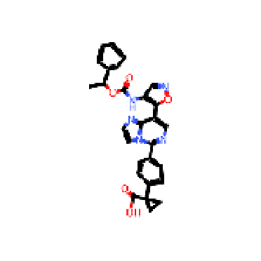 CC(OC(=O)Nc1cnoc1-c1cnc(-c2ccc(C3(C(=O)O)CC3)cc2)n2ccnc12)c1ccccc1